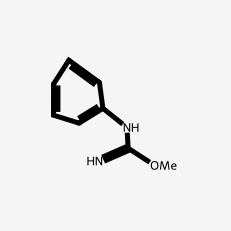 COC(=N)Nc1ccccc1